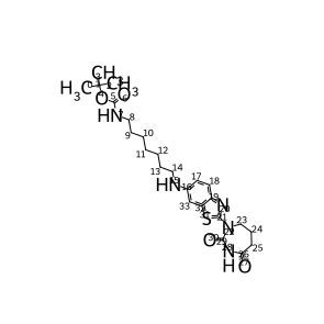 CC(C)(C)OC(=O)NCCCCCCCNc1ccc2nc(N3CCCC(=O)NC3=O)sc2c1